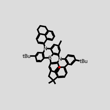 Cc1cc2c3c(c1)N(c1ccc4c5c(cccc15)CCC4)c1cc(C(C)(C)C)ccc1B3c1cc3c(cc1N2c1ccc(C(C)(C)C)cc1-c1ccccc1)CC(C)(C)C3